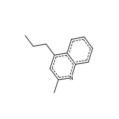 CCCc1cc(C)nc2ccccc12